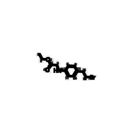 CCOC(=O)CNc1ccc(CCBr)cc1